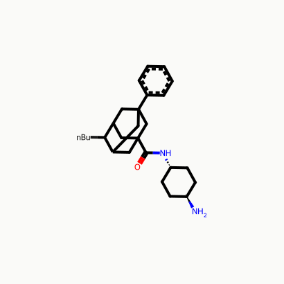 CCCCC1C2CC3(C(=O)N[C@H]4CC[C@H](N)CC4)CC1CC(c1ccccc1)(C2)C3